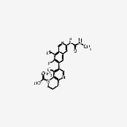 CNC(=O)Nc1cc2cc(-c3cnc4c(c3C)N(C(=O)O)CCC4)c(F)c(Cl)c2cn1